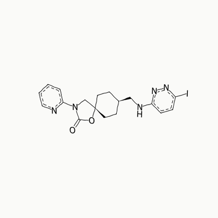 O=C1O[C@]2(CC[C@H](CNc3ccc(I)nn3)CC2)CN1c1ccccn1